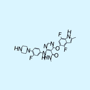 CNC(=O)c1c(Nc2ccc(N3CCNCC3)c(F)c2)ncnc1Oc1cc(F)c2[nH]c(C)cc2c1F